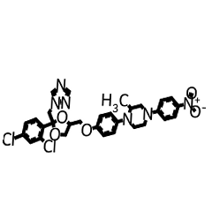 CC1CN(c2ccc([N+](=O)[O-])cc2)CCN1c1ccc(OCC2COC(Cn3cncn3)(c3ccc(Cl)cc3Cl)O2)cc1